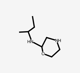 CCC(C)N[C]1CNCCO1